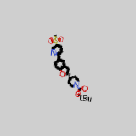 CC(C)(C)OC(=O)N1CCC([C@H]2Cc3cc(-c4ccc(S(C)(=O)=O)cn4)ccc3O2)CC1